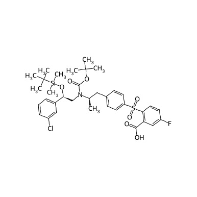 C[C@H](Cc1ccc(S(=O)(=O)c2ccc(F)cc2C(=O)O)cc1)N(C[C@H](O[Si](C)(C)C(C)(C)C)c1cccc(Cl)c1)C(=O)OC(C)(C)C